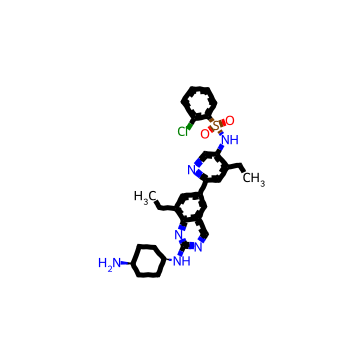 CCc1cc(-c2cc(CC)c3nc(N[C@H]4CC[C@H](N)CC4)ncc3c2)ncc1NS(=O)(=O)c1ccccc1Cl